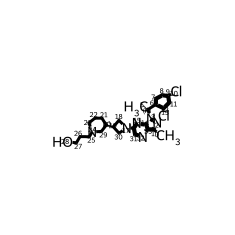 Cc1nn([C@H](C)c2ccc(Cl)cc2Cl)c2nc(N3CC([C@@H]4CCCN(CCCO)C4)C3)cnc12